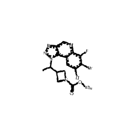 CC(C1CN(C(=O)OC(C)(C)C)C1)n1nnc2cnc3c(F)c(Br)c(Cl)cc3c21